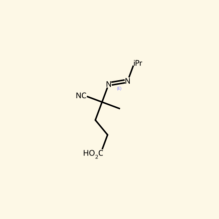 CC(C)/N=N/C(C)(C#N)CCC(=O)O